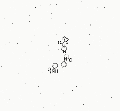 CC(=O)Nc1cccc(-c2cccc(N3CC(N4CCN(C(=O)c5nccs5)CC4)CC3=O)c2)c1